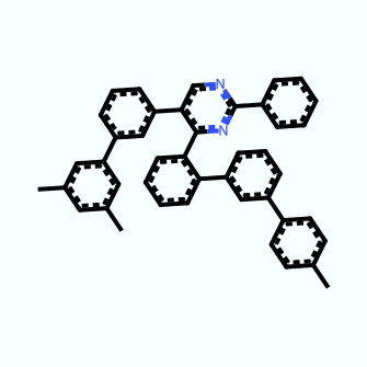 Cc1ccc(-c2cccc(-c3ccccc3-c3nc(-c4ccccc4)ncc3-c3cccc(-c4cc(C)cc(C)c4)c3)c2)cc1